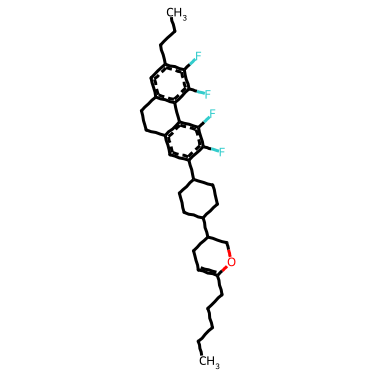 CCCCCC1=CCC(C2CCC(c3cc4c(c(F)c3F)-c3c(cc(CCC)c(F)c3F)CC4)CC2)CO1